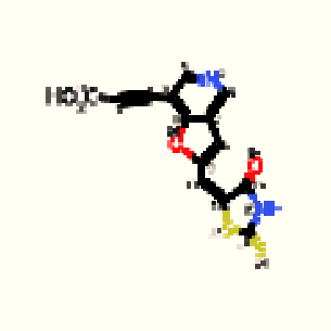 O=C(O)C#Cc1cncc2cc(/C=C3/SC(=S)NC3=O)oc12